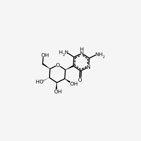 Nc1nc(=O)c([C@@H]2O[C@H](CO)[C@@H](O)[C@H](O)[C@@H]2O)c(N)[nH]1